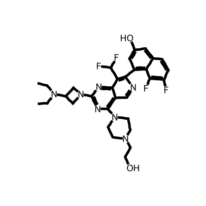 CCN(CC)C1CN(c2nc(N3CCN(CCO)CC3)c3cnc(-c4cc(O)cc5ccc(F)c(F)c45)c(C(F)F)c3n2)C1